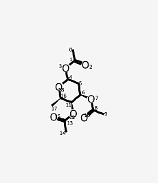 CC(=O)OC1C[C@@H](OC(C)=O)[C@@H](OC(C)=O)[C@@H](C)O1